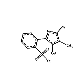 CCS(=O)(=O)c1ccccc1-c1nn(C(C)C)c(C)c1O